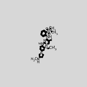 CCOc1cc(N2CC[C@H](NC)C2)ccc1Nc1ncc(I)c(Nc2ccccc2S(=O)(=O)N(C)C)n1